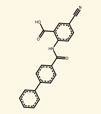 N#Cc1ccc(NC(=O)c2ccc(-c3ccccc3)cc2)c(C(=O)O)c1